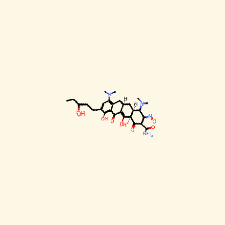 CCC(O)CCc1cc(N(C)C)c2c(c1O)C(=O)C1=C(O)[C@]3(C)C(=O)C(C(N)=O)C(N=O)C(N(C)C)[C@@H]3C[C@@H]1C2